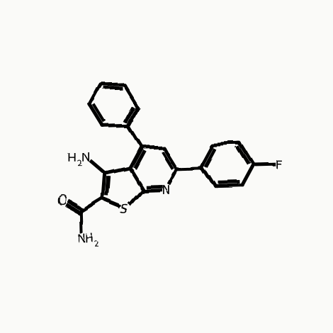 NC(=O)c1sc2nc(-c3ccc(F)cc3)cc(-c3ccccc3)c2c1N